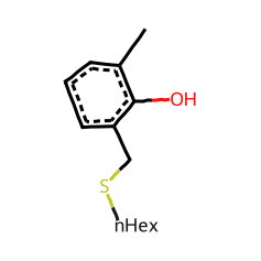 CCCCCCSCc1cccc(C)c1O